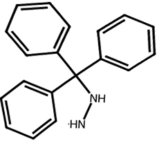 [NH]NC(c1ccccc1)(c1ccccc1)c1ccccc1